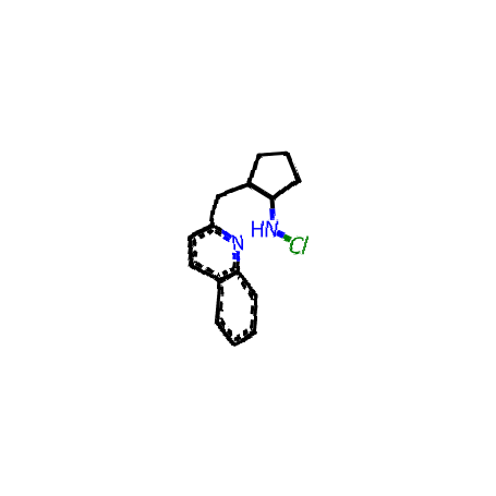 ClNC1CCCC1Cc1ccc2ccccc2n1